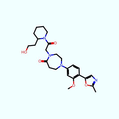 COc1cc(N2CCC(=O)N(CC(=O)N3CCCCC3CCO)CC2)ccc1-c1cnc(C)o1